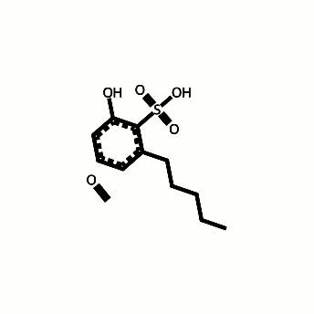 C=O.CCCCCc1cccc(O)c1S(=O)(=O)O